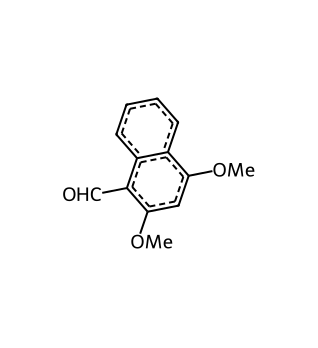 COc1cc(OC)c2ccccc2c1C=O